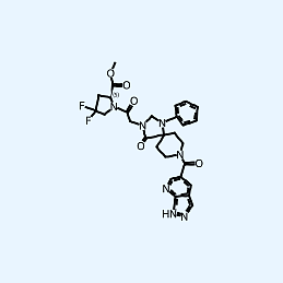 COC(=O)[C@@H]1CC(F)(F)CN1C(=O)CN1CN(c2ccccc2)C2(CCN(C(=O)c3cnc4[nH]ncc4c3)CC2)C1=O